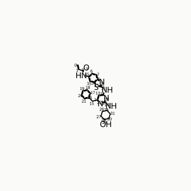 C=CC(=O)Nc1ccc2nc(Nc3cc(Cc4ccccc4)nc(N[C@H]4CC[C@H](O)CC4)n3)sc2c1